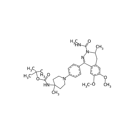 CNC(=O)N1N=C(c2ccc(N3CCC(C)(NC(=O)OC(C)(C)C)CC3)cc2)c2cc(OC)c(OC)cc2CC1C